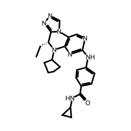 CC[C@@H]1c2nncn2-c2cnc(Nc3ccc(C(=O)NC4CC4)cc3)nc2N1C1CCCC1